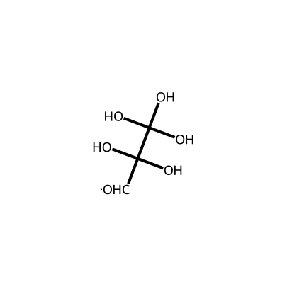 O=[C]C(O)(O)C(O)(O)O